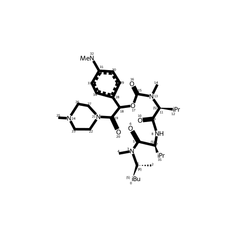 CC[C@H](C)[C@@H](C)N(C)C(=O)[C@@H](NC(=O)[C@H](C(C)C)N(C)C(=O)OC(C(=O)N1CCN(C)CC1)c1ccc(NC)cc1)C(C)C